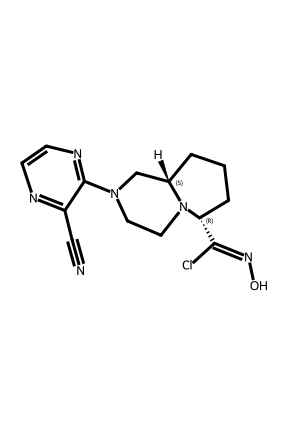 N#Cc1nccnc1N1CCN2[C@@H](CCC[C@@H]2C(Cl)=NO)C1